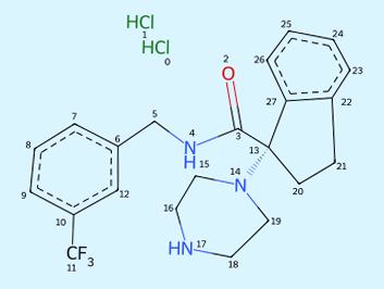 Cl.Cl.O=C(NCc1cccc(C(F)(F)F)c1)[C@]1(N2CCNCC2)CCc2ccccc21